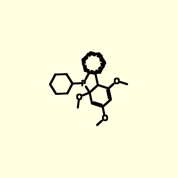 COC1=CC(OC)(P(C2CCCCC2)C2CCCCC2)C(c2ccccc2)C(OC)=C1